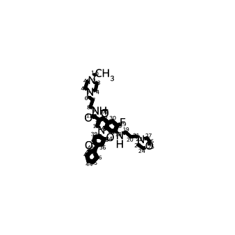 CCN1CCN(CCCNC(=O)c2cn3c4c(c(NCCCN5CCOCC5)c(F)cc4c2=O)Oc2cc4c(cc2-3)oc2ccccc24)CC1